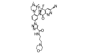 C[C@H]1CN(c2ccc(-n3cc(C(=O)NCCCN4CCOCC4)nn3)cc2NC(=O)c2nnc(C#N)cc2C(F)(F)F)CCN1C